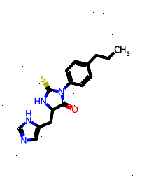 CCCc1ccc(N2C(=O)C(Cc3cnc[nH]3)NC2=S)cc1